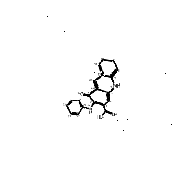 O=C(O)c1cc2[nH]c3ccccc3cc-2c(=O)c1Nc1ccccc1